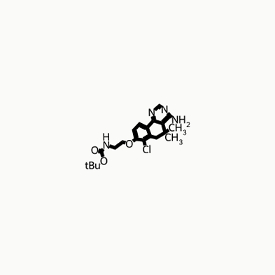 CC(C)(C)OC(=O)NCCOc1ccc2c(c1Cl)CC(C)(C)c1c(N)ncnc1-2